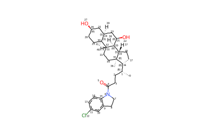 C[C@H](CCC(=O)N1CCc2cc(Cl)ccc21)[C@H]1CC[C@H]2[C@@H]3[C@H](O)C[C@@H]4C[C@H](O)CC[C@]4(C)[C@H]3CC[C@]12C